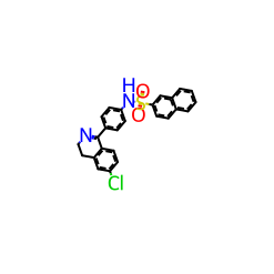 O=S(=O)(Nc1ccc(C2=NCCc3cc(Cl)ccc32)cc1)c1ccc2ccccc2c1